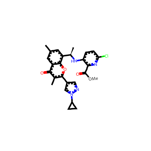 COC(=O)c1nc(Cl)ccc1N[C@H](C)c1cc(C)cc2c(=O)c(C)c(-c3cnn(C4CC4)c3)oc12